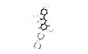 Cc1c(N2CCC(N3CCOCC3)CC2)c(OC(C)C)c(F)c2c(=O)c3c4ccc(C#N)cc4[nH]c3n(C(C)C)c12